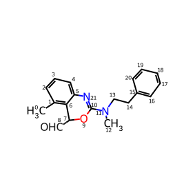 Cc1cccc2c1C(C=O)OC(N(C)CCc1ccccc1)=N2